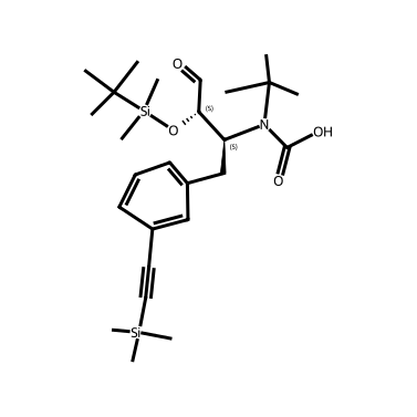 CC(C)(C)N(C(=O)O)[C@@H](Cc1cccc(C#C[Si](C)(C)C)c1)[C@@H](C=O)O[Si](C)(C)C(C)(C)C